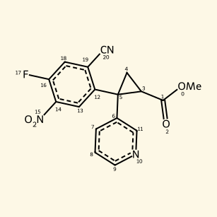 COC(=O)C1CC1(c1cccnc1)c1cc([N+](=O)[O-])c(F)cc1C#N